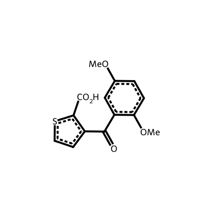 COc1ccc(OC)c(C(=O)c2ccsc2C(=O)O)c1